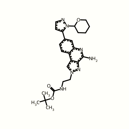 CC(C)(C)OC(=O)NCCn1cc2c(n1)c(N)nc1cc(-c3ccnn3C3CCCCO3)ccc12